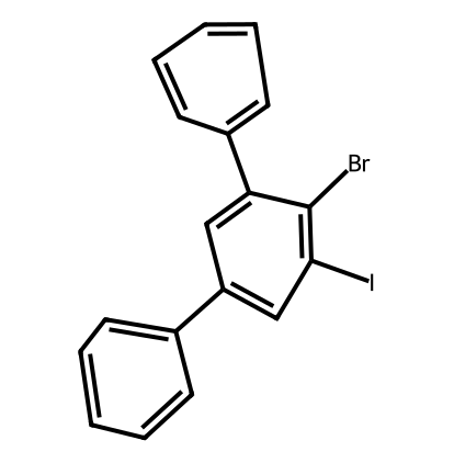 Brc1c(I)cc(-c2ccccc2)cc1-c1ccccc1